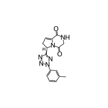 Cc1cccc(-n2nnc([C@H]3CC=C4C(=O)NCC(=O)N43)n2)c1